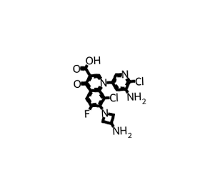 Nc1cc(-n2cc(C(=O)O)c(=O)c3cc(F)c(N4CC(N)C4)c(Cl)c32)cnc1Cl